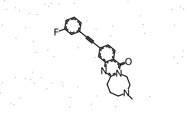 CN1CCCc2nc3cc(C#Cc4cccc(F)c4)ccc3c(=O)n2CC1